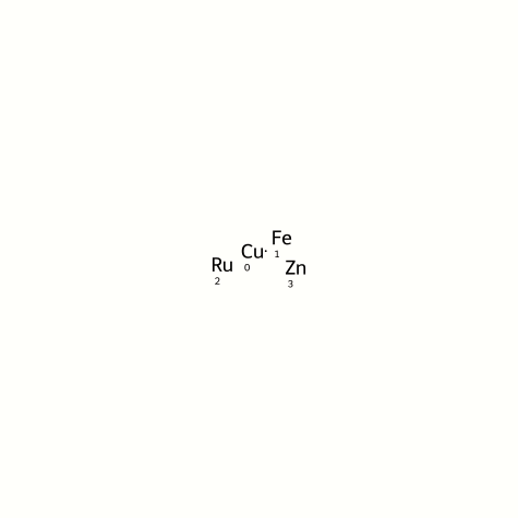 [Cu].[Fe].[Ru].[Zn]